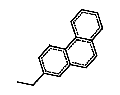 CCc1c[c]c2c(ccc3ccccc32)c1